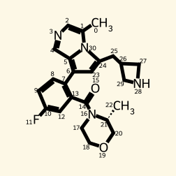 Cc1cncc2c(-c3ccc(F)cc3C(=O)N3CCOC[C@H]3C)cc(CC3CNC3)n12